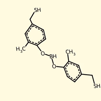 Cc1cc(CS)ccc1OBOc1ccc(CS)cc1C